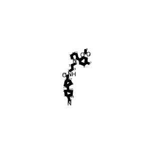 CC(=O)Oc1cc(C)ccc1C1CCCCN1CCCCNC(=O)c1ccc(-c2ccc(C#N)cc2)cc1